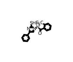 O=C(Nn1cc(-c2ccccc2)nc1S)c1ccccc1C(F)(F)F